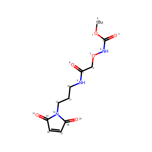 CC(C)(C)OC(=O)NOCC(=O)NCCCN1C(=O)C=CC1=O